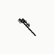 CC(C)[O][Al].CCCCCCCCC=CCCCCCCCCOC(=O)CC(C)=O.CCOC(=O)CC(C)=O